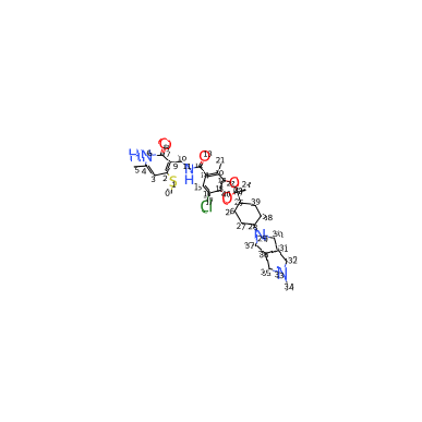 CSc1cc(C)[nH]c(=O)c1CNC(=O)c1cc(Cl)c2c(c1C)O[C@](C)(C1CCC(N3CC4CN(C)CC4C3)CC1)O2